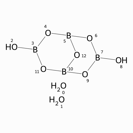 O.O.OB1OB2OB(O)OB(O1)O2